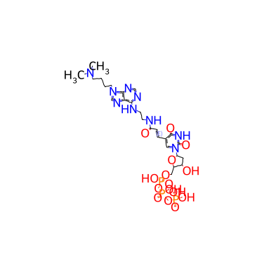 CN(C)CCCCn1cnc2c(NCCNC(=O)/C=C/c3cn(C4CC(O)C(COP(=O)(O)OP(=O)(O)OP(=O)(O)O)O4)c(=O)[nH]c3=O)ncnc21